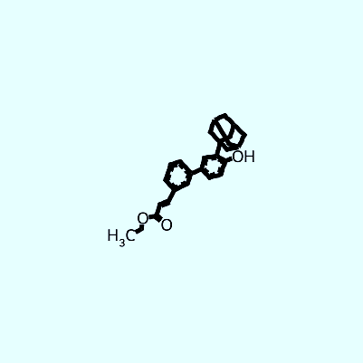 CCOC(=O)C=Cc1cccc(-c2ccc(O)c(C34CC5CC(CC(C5)C3)C4)c2)c1